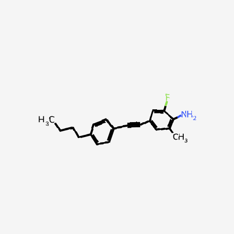 CCCCc1ccc(C#Cc2cc(C)c(N)c(F)c2)cc1